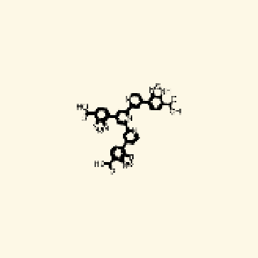 O=C(O)C1=CC=C(c2ccnc(-c3cc(-c4ccc(C(=O)O)c5nsnc45)cc(-c4cc(-c5ccc(C(=O)O)c6nsnc56)ccn4)n3)c2)C2=NSNC12